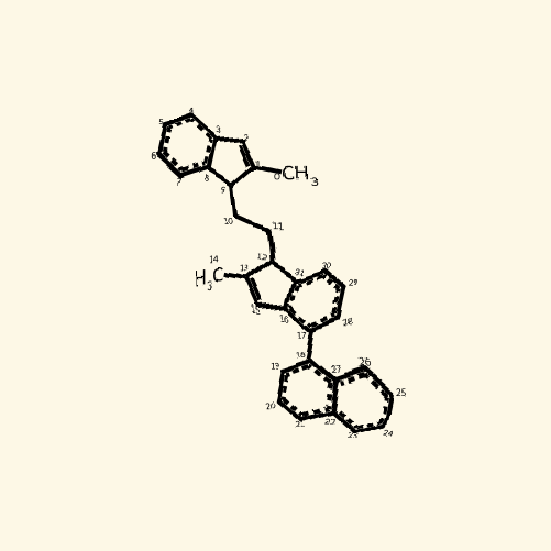 CC1=Cc2ccccc2C1CCC1C(C)=Cc2c(-c3cccc4ccccc34)cccc21